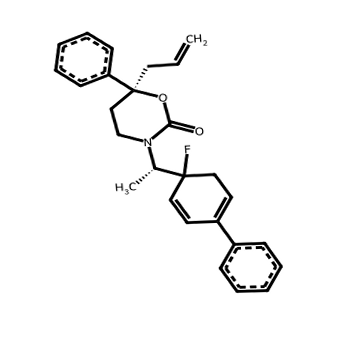 C=CC[C@@]1(c2ccccc2)CCN([C@@H](C)C2(F)C=CC(c3ccccc3)=CC2)C(=O)O1